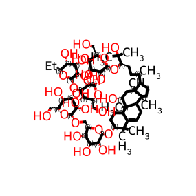 CC[C@@H]1O[C@H](O[C@H]2[C@H](O)[C@@H](O[C@H]3[C@H](O[C@H](CC[C@@H](C)C4CC[C@@]5(C)C6CC=C7C(CC[C@H](O[C@@H]8O[C@H](CO[C@@H]9O[C@H](CO)[C@@H](O)[C@H](O)[C@H]9O)[C@@H](O)[C@H](O)[C@H]8O)C7(C)C)[C@]6(C)[C@H](O)C[C@]45C)C(C)(C)O)O[C@H](CO)[C@@H](O)[C@@H]3O)O[C@@H](CO)[C@@H]2O)[C@@H](O)[C@H](O)[C@H]1O